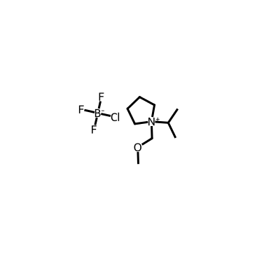 COC[N+]1(C(C)C)CCCC1.F[B-](F)(F)Cl